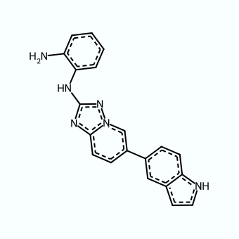 Nc1ccccc1Nc1nc2ccc(-c3ccc4[nH]ccc4c3)cn2n1